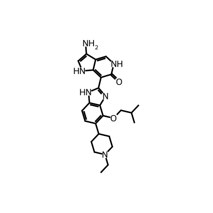 CCN1CCC(c2ccc3[nH]c(-c4c(=O)[nH]cc5c(N)c[nH]c45)nc3c2OCC(C)C)CC1